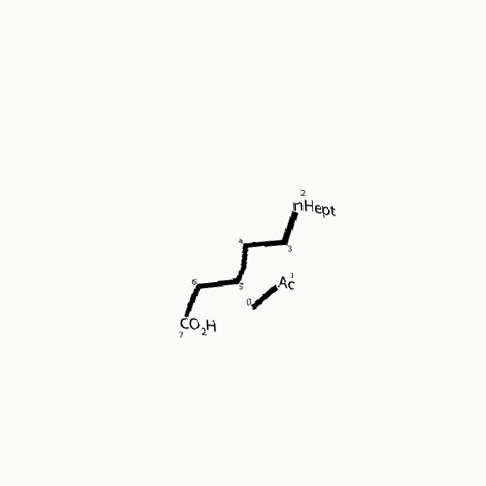 CC(C)=O.CCCCCCCCCCCC(=O)O